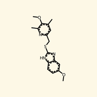 COc1ccc2[nH]c(SCc3cc(C)c(OC)c(C)n3)nc2c1